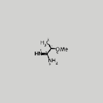 COC(C)C(=N)N